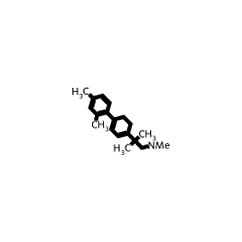 CNCC(C)(C)C1=CC=C(c2ccc(C)cc2C)CC1